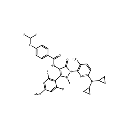 COc1cc(F)c(-c2c(NC(=O)c3ccc(OC(F)F)cc3)c(=O)n(-c3nc(N(C4CC4)C4CC4)ccc3C(F)(F)F)n2C)c(F)c1